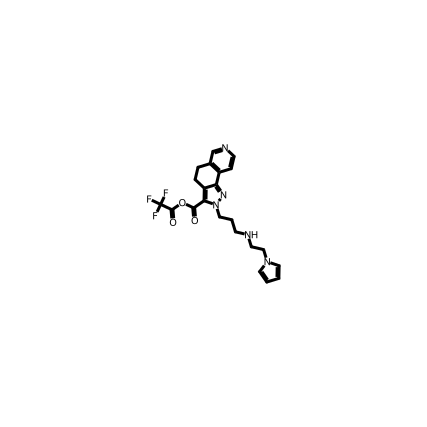 O=C(OC(=O)C(F)(F)F)c1c2c(nn1CCCNCCn1cccc1)-c1ccncc1CC2